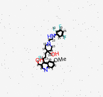 COc1ccc2ncc(CO)c([C@@H](F)CCC3(CO)CCN(CCNc4cc(F)cc(F)c4F)CC3)c2c1